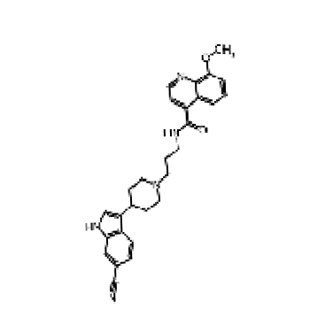 COc1cccc2c(C(=O)NCCCN3CCC(c4c[nH]c5cc(C#N)ccc45)CC3)ccnc12